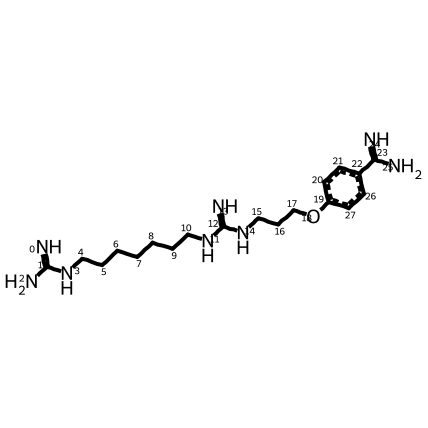 N=C(N)NCCCCCCCNC(=N)NCCCOc1ccc(C(=N)N)cc1